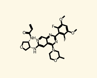 C=CC(=O)N[C@H]1COC[C@H]1Nc1cc2c(N3CCOC(C)C3)nc(-c3c(F)c(OC)cc(OC)c3F)nc2cn1